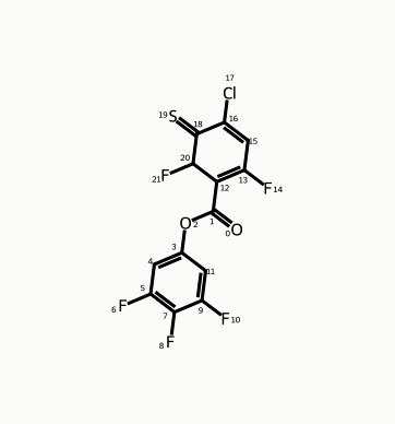 O=C(Oc1cc(F)c(F)c(F)c1)C1=C(F)C=C(Cl)C(=S)C1F